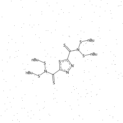 CCCCSN(SCCCC)C(=S)c1nnc(C(=S)N(SCCCC)SCCCC)s1